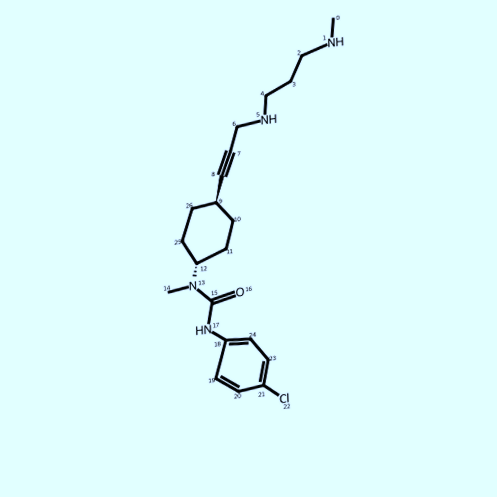 CNCCCNCC#C[C@H]1CC[C@H](N(C)C(=O)Nc2ccc(Cl)cc2)CC1